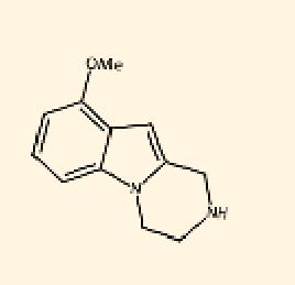 COc1cccc2c1cc1n2CCNC1